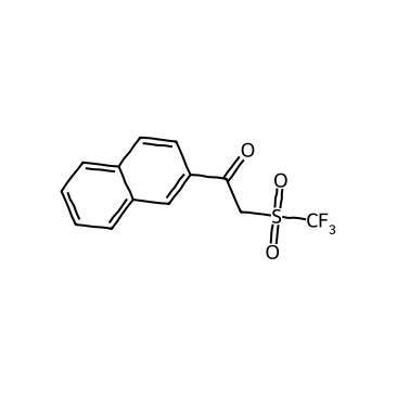 O=C(CS(=O)(=O)C(F)(F)F)c1ccc2ccccc2c1